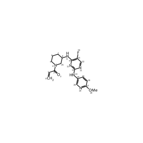 C=CC(=O)N1CCCC(Nc2nc(Nc3ccc(OC)nc3)ncc2F)C1